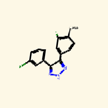 COc1ccc(-c2n[nH]nc2-c2cccc(F)c2)cc1F